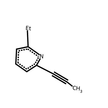 CC#Cc1cccc(CC)n1